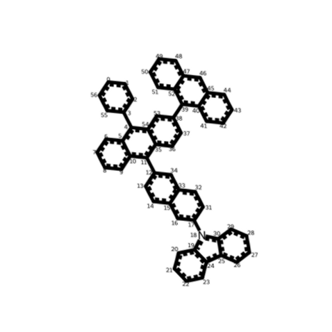 c1ccc(-c2c3ccccc3c(-c3ccc4cc(-n5c6ccccc6c6ccccc65)ccc4c3)c3ccc(-c4c5ccccc5cc5ccccc45)cc23)cc1